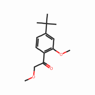 COCC(=O)c1ccc(C(C)(C)C)cc1OC